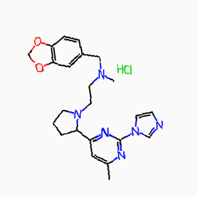 Cc1cc(C2CCCN2CCN(C)Cc2ccc3c(c2)OCO3)nc(-n2ccnc2)n1.Cl